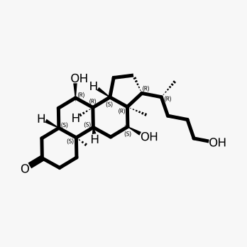 C[C@H](CCCO)[C@H]1CC[C@H]2[C@@H]3[C@H](O)C[C@H]4CC(=O)CC[C@]4(C)[C@H]3C[C@H](O)[C@]12C